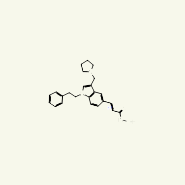 O=C(/C=C/c1ccc2c(c1)c(CN1CCCC1)cn2CCc1ccccc1)NO